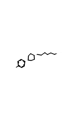 CCCCCCC[C@H]1CC[C@H](c2ccc(F)cc2)CC1